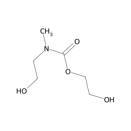 CN(CCO)C(=O)OCCO